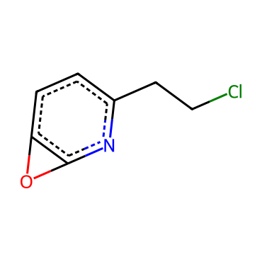 ClCCc1ccc2c(n1)O2